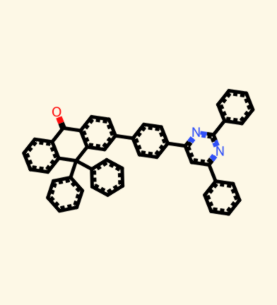 O=C1c2ccccc2C(c2ccccc2)(c2ccccc2)c2cc(-c3ccc(-c4cc(-c5ccccc5)nc(-c5ccccc5)n4)cc3)ccc21